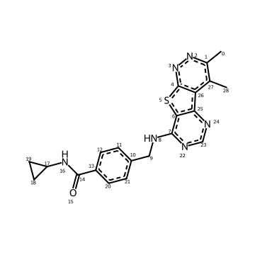 Cc1nnc2sc3c(NCc4ccc(C(=O)NC5CC5)cc4)ncnc3c2c1C